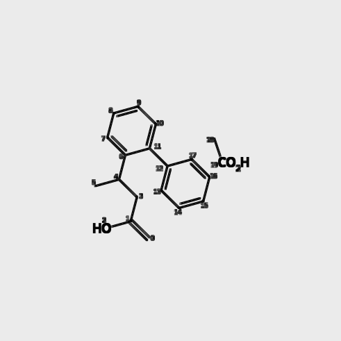 C=C(O)CC(C)c1ccccc1-c1ccccc1.CC(=O)O